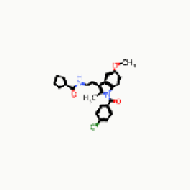 COc1ccc2c(c1)c(CCNC(=O)C1CCCC1)c(C)n2C(=O)c1ccc(Cl)cc1